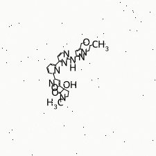 CC1Cn2nc(Nc3nccc(-c4cccc(-c5cc(C6(O)CCN(C)C6=O)on5)n4)n3)cc2CO1